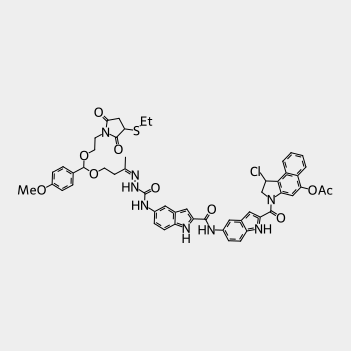 CCSC1CC(=O)N(CCOC(OCC/C(C)=N\NC(=O)Nc2ccc3[nH]c(C(=O)Nc4ccc5[nH]c(C(=O)N6CC(Cl)c7c6cc(OC(C)=O)c6ccccc76)cc5c4)cc3c2)c2ccc(OC)cc2)C1=O